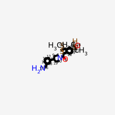 CSc1sc(C(=O)N2CCC(c3cccc(CN)c3)CC2)c2ccc([SH](C)(C)=O)cc12